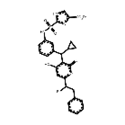 CCOC(=O)c1c[nH]c(S(=O)(=O)Nc2cccc(C(c3c(O)cc(C(CC)Cc4ccccc4)oc3=O)C3CC3)c2)n1